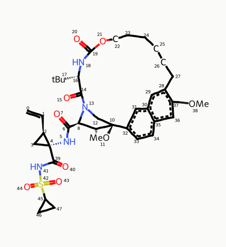 C=C[C@@H]1C[C@]1(NC(=O)[C@@H]1C[C@]2(OC)CN1C(=O)[C@H](C(C)(C)C)NC(=O)OCCCCCCc1cc3cc2ccc3cc1OC)C(=O)NS(=O)(=O)C1CC1